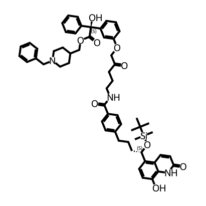 CC(C)(C)[Si](C)(C)O[C@@H](CCCc1ccc(C(=O)NCCCC(=O)COc2cccc([C@](O)(C(=O)OCC3CCN(Cc4ccccc4)CC3)c3ccccc3)c2)cc1)c1ccc(O)c2[nH]c(=O)ccc12